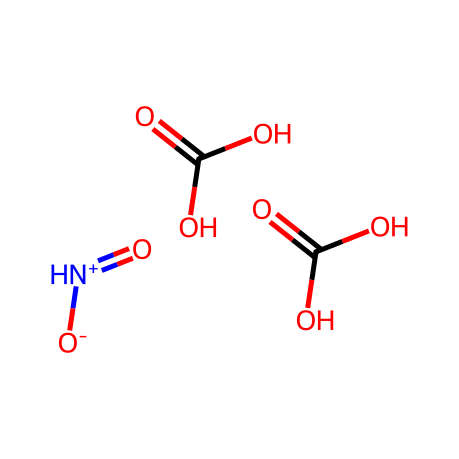 O=C(O)O.O=C(O)O.O=[NH+][O-]